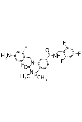 C[C@H]1c2ccc(C(=O)NCc3c(F)cc(F)cc3F)cc2N(Cc2c(F)cc(N)cc2F)C(=O)N1C